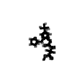 COC(=O)C(C)(C)NC(=O)N=c1sc(C(C)(C)C)cn1C[C@H]1CCCO1